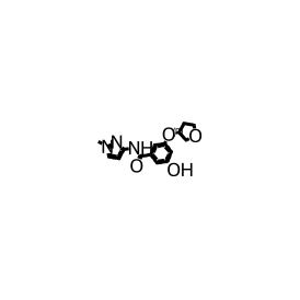 Cn1ccc(NC(=O)c2cc(O)cc(O[C@@H]3CCOC3)c2)n1